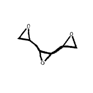 C1OC1C1OC1C1CO1